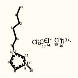 CCCCCCn1cc[n+](C)c1.[Cl-].[Cl-].[Cl-].[Cl-].[Ti+3]